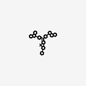 CC1(C)c2cc(-c3ccccc3)ccc2-c2ccc(N(c3ccc(-c4cccc5c4ccc4ccccc45)cc3)c3ccc(-c4cc5ccccc5c5ccccc45)cc3)cc21